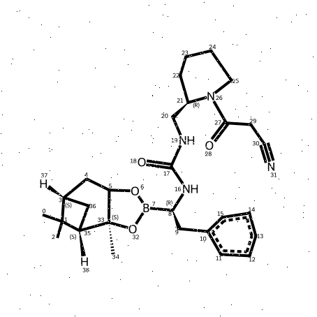 CC1(C)[C@@H]2CC3OB([C@H](Cc4ccccc4)NC(=O)NC[C@H]4CCCCN4C(=O)CC#N)O[C@@]3(C)[C@H]1C2